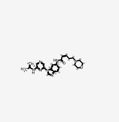 C=C(C)Nc1cncc(-n2cnc3ccc(NC(=O)/C=C\CCN4CCOCC4)cc32)n1